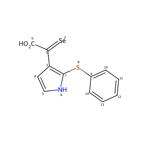 O=C(O)C(=[Se])c1cc[nH]c1Sc1ccccc1